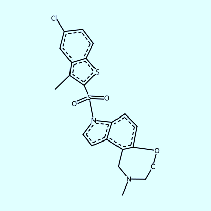 Cc1c(S(=O)(=O)n2ccc3c4c(ccc32)OCCN(C)C4)sc2ccc(Cl)cc12